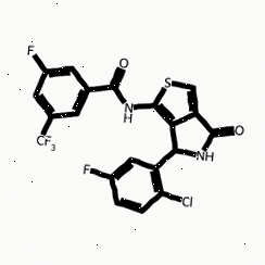 O=C(Nc1scc2c1C(c1cc(F)ccc1Cl)NC2=O)c1cc(F)cc(C(F)(F)F)c1